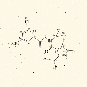 C=C(CN(C(=O)c1c(C(F)F)nn(C)c1F)C1CC1)c1cc(Cl)cc(Cl)c1